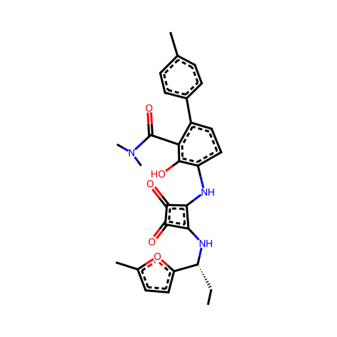 CC[C@@H](Nc1c(Nc2ccc(-c3ccc(C)cc3)c(C(=O)N(C)C)c2O)c(=O)c1=O)c1ccc(C)o1